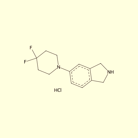 Cl.FC1(F)CCN(c2ccc3c(c2)CNC3)CC1